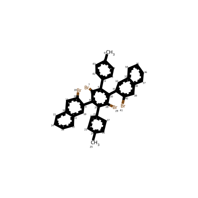 Cc1ccc(-c2c(Br)c(-c3cc4ccccc4cc3Br)c(-c3ccc(C)cc3)c(Br)c2-c2cc3ccccc3cc2Br)cc1